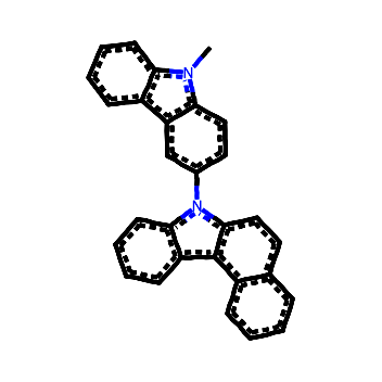 Cn1c2ccccc2c2cc(-n3c4ccccc4c4c5ccccc5ccc43)ccc21